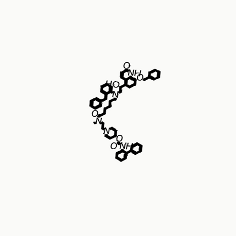 CN(CCN1CCC(OC(=O)Nc2ccccc2-c2ccccc2)CC1)C(=O)CCCCCN(C[C@H](O)c1ccc(OCc2ccccc2)c2[nH]c(=O)ccc12)c1ccccc1Cc1ccccc1